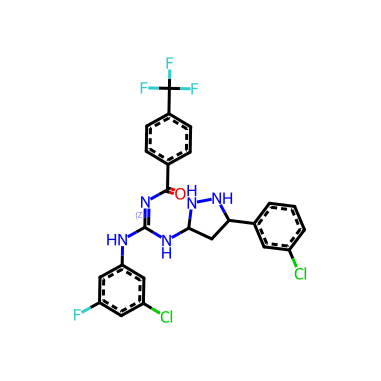 O=C(/N=C(/Nc1cc(F)cc(Cl)c1)NC1CC(c2cccc(Cl)c2)NN1)c1ccc(C(F)(F)F)cc1